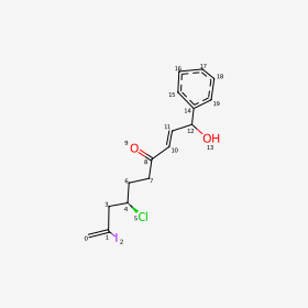 C=C(I)C[C@H](Cl)CCC(=O)/C=C/C(O)c1ccccc1